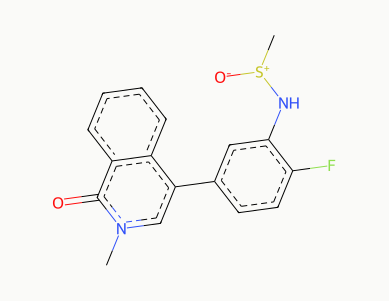 Cn1cc(-c2ccc(F)c(N[S+](C)[O-])c2)c2ccccc2c1=O